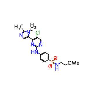 COCCNS(=O)(=O)c1ccc(Nc2ncc(Cl)c(-c3cnc(C)n3C)n2)cc1